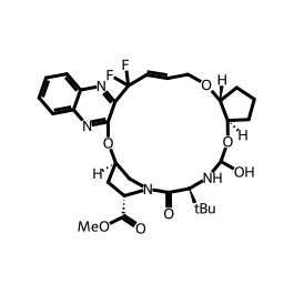 COC(=O)[C@@H]1C[C@@H]2CN1C(=O)[C@H](C(C)(C)C)NC(O)O[C@@H]1CCC[C@H]1OC/C=C/C(F)(F)c1nc3ccccc3nc1O2